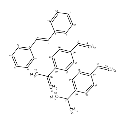 C(=C\c1ccccc1)/c1ccccc1.C=Cc1ccc(C(=C)C)cc1.C=Cc1ccc(C(C)C)cc1